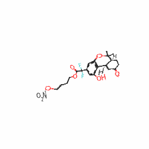 CC1(C)Oc2cc(C(F)(F)C(=O)OCCCCO[N+](=O)[O-])cc(O)c2[C@@H]2CC(=O)CC[C@@H]21